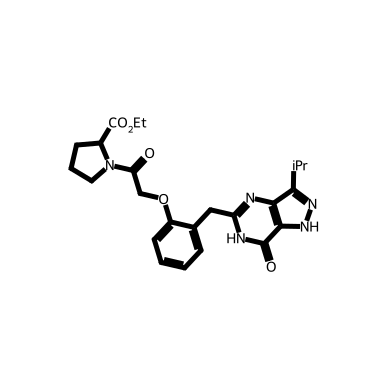 CCOC(=O)C1CCCN1C(=O)COc1ccccc1Cc1nc2c(C(C)C)n[nH]c2c(=O)[nH]1